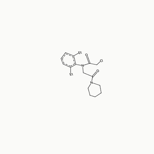 CCc1cccc(CC)c1N(CC(=O)N1CCCCC1)C(=O)CCl